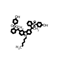 C=C(c1ccc2c(c1)c1cc(C(=C)c3ccccc3S(=O)(=O)c3ccc(O)cc3)ccc1n2CCCCCC)c1ccccc1S(=O)(=O)c1ccc(O)cc1